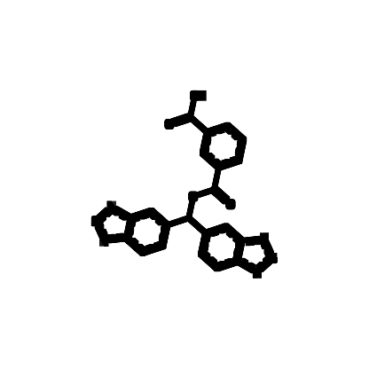 O=C(O)c1cccc(C(=O)OC(c2ccc3nsnc3c2)c2ccc3nsnc3c2)c1